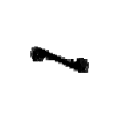 CC(C)(C)C1=CC(C=CCNCCCCCCNCC=CC2C=C(C(C)(C)C)C(O)=C(C(C)(C)C)C2)CC(C(C)(C)C)=C1O